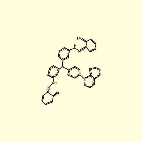 N=C1C=CC=C/C1=N/Nc1cccc(N(c2ccc(-c3cccc4ccccc34)cc2)c2cccc(N/N=C3/C=CC=CC3=N)c2)c1